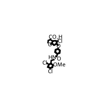 COc1cc(Cl)cc(Cl)c1CCNC(=O)c1ccc(Oc2cc3c(cc2Cl)C(C(=O)O)CCO3)cc1